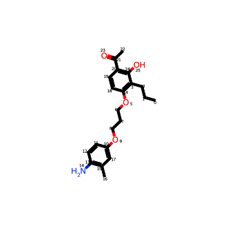 CCCc1c(OCCCOc2ccc(N)c(C)c2)ccc(C(C)=O)c1O